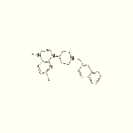 Cc1ccc2c(n1)N(C1CCN(Cc3ccc4ccccc4c3)CC1)C=CN2C